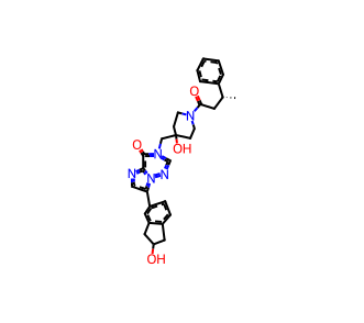 C[C@H](CC(=O)N1CCC(O)(Cn2cnn3c(-c4ccc5c(c4)CC(O)C5)cnc3c2=O)CC1)c1ccccc1